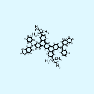 CCC(C)(C)c1ccc2c(c1)c1cc(N(c3ccccc3)c3ccc4c(c3)CCC4)ccc1c1cc3c4ccc(C(C)(C)CC)cc4c4cc(N(c5ccccc5)c5ccc6c(c5)CCC6)ccc4c3cc21